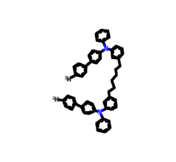 [3H]c1ccc(-c2ccc(N(c3ccccc3)c3cccc(CCCCCCc4cccc(N(c5ccccc5)c5ccc(-c6ccc([3H])cc6)cc5)c4)c3)cc2)cc1